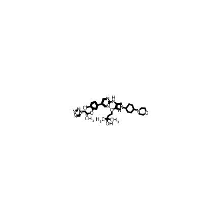 C[C@@H](Cn1cnnn1)Oc1cc(-c2cnc(Nc3cn(C4CCC(N5CCOCC5)CC4)nc3OCCC(C)(C)O)nc2)ccc1Cl